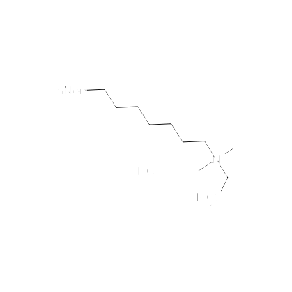 CCCCCCCCCCCCCCCC[N+](C)(C)CC(=O)O.[OH-]